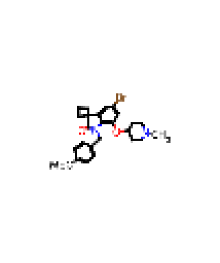 COc1ccc(CN2C(=O)C3(CCC3)c3cc(Br)cc(OC4CCN(C)CC4)c32)cc1